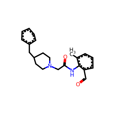 Cc1cccc(C=O)c1NC(=O)CN1CCC(Cc2ccccc2)CC1